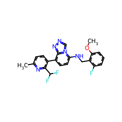 COc1cccc(F)c1CNc1ccc(-c2ccc(C)nc2C(F)F)c2nncn12